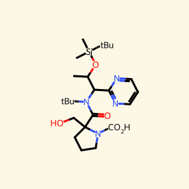 CC(O[Si](C)(C)C(C)(C)C)C(c1ncccn1)N(C(=O)C1(CO)CCCN1C(=O)O)C(C)(C)C